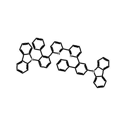 c1ccc(-c2ccc(-n3c4ccccc4c4ccccc43)cc2-c2cccc(-c3cccc(-c4cccc(-n5c6ccccc6c6ccccc65)c4-c4ccccc4)n3)n2)cc1